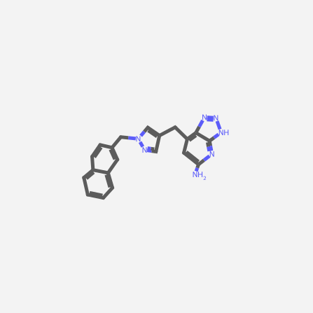 Nc1cc(Cc2cnn(Cc3ccc4ccccc4c3)c2)c2nn[nH]c2n1